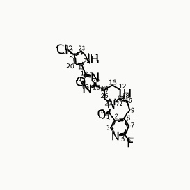 O=C1c2cnc(F)cc2CC[C@@H]2CC[C@H](c3noc(-c4cc(Cl)c[nH]4)n3)CN12